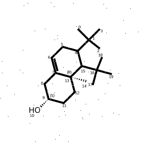 CC(C)(C)C1CC=C2C[C@@H](O)CC[C@]2(C)C1C(C)(C)C